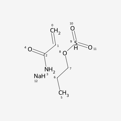 C=CC(N)=O.CCCO[SH](=O)=O.[NaH]